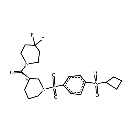 O=C([C@@H]1CCCN(S(=O)(=O)c2ccc(S(=O)(=O)C3CCC3)cc2)C1)N1CCC(F)(F)CC1